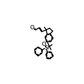 CC1(C=CC=O)CCc2ccc(O[Si](c3ccccc3)(c3ccccc3)C(C)(C)C)cc21